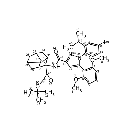 COc1cccc(OC)c1-c1cc(C(=O)NC2(C3OC3OC(C)(C)C)C3CC4CC(C3)CC2C4)nn1-c1ccc(I)cc1C(C)C